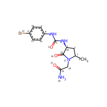 CC1C[C@H](NC(=O)Nc2ccc(Br)cc2)C(=O)N1CC(N)=O